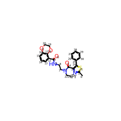 Cc1nc(C(=O)N(CCNC(=O)c2cccc3c2OCCO3)CC(C)C)c(-c2ccccc2)s1